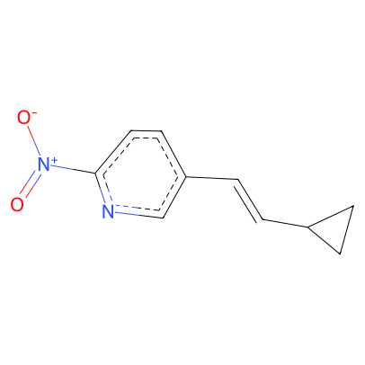 O=[N+]([O-])c1ccc(/C=C/C2CC2)cn1